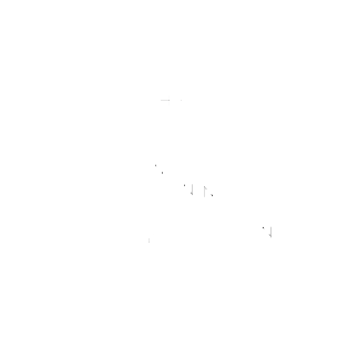 Cc1cc(C)cc(Nc2nnc(Cc3ccncc3)c3ccc(C)cc23)c1